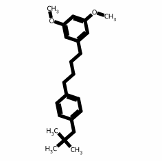 COc1cc(CCCCc2ccc(CC(C)(C)C)cc2)cc(OC)c1